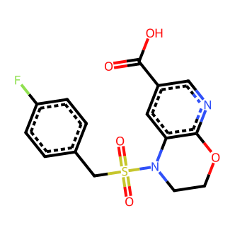 O=C(O)c1cnc2c(c1)N(S(=O)(=O)Cc1ccc(F)cc1)CCO2